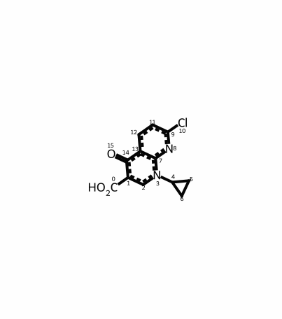 O=C(O)c1cn(C2CC2)c2nc(Cl)ccc2c1=O